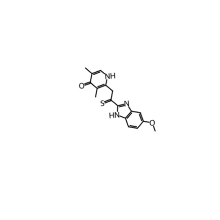 COc1ccc2[nH]c(C(=S)Cc3[nH]cc(C)c(=O)c3C)nc2c1